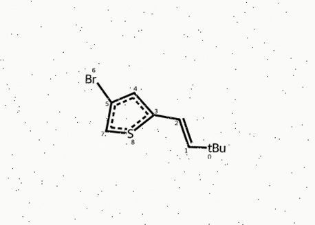 CC(C)(C)/C=C/c1cc(Br)cs1